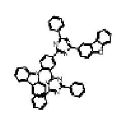 c1ccc(-c2nc(-c3ccc(-n4c5ccccc5c5ccccc54)c(-c4nc(-c5ccccc5)nc(-c5ccccc5)n4)c3)nc(-c3ccc4oc5ccccc5c4c3)n2)cc1